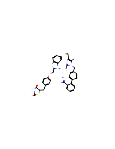 CCCc1nc(C(C)Sc2ccc3nc(COc4ccc(CC5SC(=O)NC5=O)cc4)n(C)c3c2)c(C(=O)OCC)n1Cc1ccc(-c2ccccc2-c2nnn[nH]2)cc1